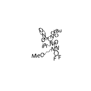 COCCCCn1c(C(=O)N(CC(C)C)[C@H]2C[C@@H](C(=O)N3CCOCC3)CN(C(=O)OC(C)(C)C)C2)nc2cc(F)c(F)cc21